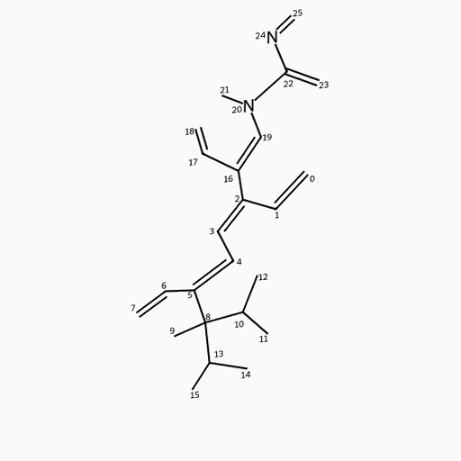 C=CC(=C\C=C(/C=C)C(C)(C(C)C)C(C)C)/C(C=C)=C/N(C)C(=C)N=C